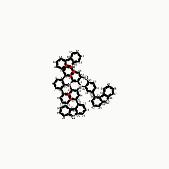 c1ccc(-c2cccc(-c3ccccc3)c2N2c3ccc(-c4cccc5oc6ccccc6c45)cc3B3c4cc(-c5cccc6oc7ccccc7c56)ccc4Oc4cc(-n5c6ccccc6c6ccccc65)cc2c43)cc1